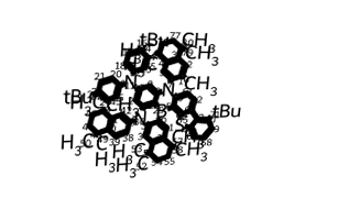 Cc1cc2c(cc1N1c3cc(N(c4ccc(C(C)(C)C)cc4)c4ccc(C(C)(C)C)cc4)cc4c3B(c3cc5c(cc3N4c3ccc4c(c3)C(C)(C)CCC4(C)C)C(C)(C)CCC5(C)C)c3c1ccc1c3sc3cccc(C(C)(C)C)c31)C(C)(C)CCC2(C)C